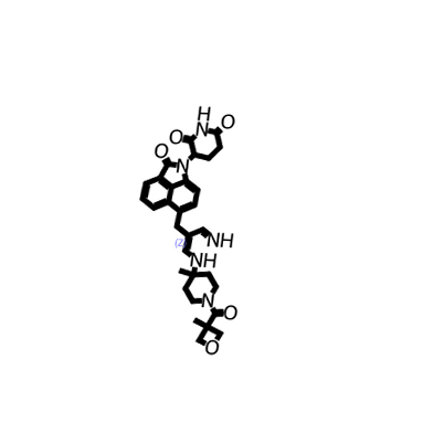 CC1(N/C=C(\C=N)Cc2ccc3c4c(cccc24)C(=O)N3C2CCC(=O)NC2=O)CCN(C(=O)C2(C)COC2)CC1